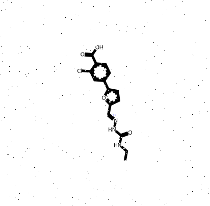 CCNC(=O)N/N=C/c1ccc(-c2ccc(C(=O)O)c(Cl)c2)o1